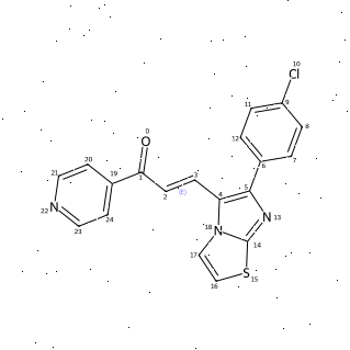 O=C(/C=C/c1c(-c2ccc(Cl)cc2)nc2sccn12)c1ccncc1